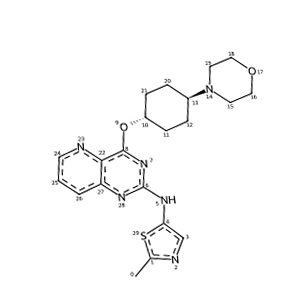 Cc1ncc(Nc2nc(O[C@H]3CC[C@H](N4CCOCC4)CC3)c3ncccc3n2)s1